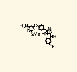 CSc1nc(N)cc(Oc2ccc(-c3nnc(Nc4cccc(C(C)(C)C)c4)[nH]3)cc2)n1